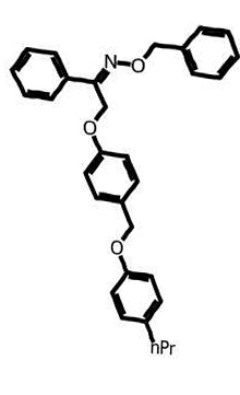 CCCc1ccc(OCc2ccc(OC/C(=N\OCc3ccccc3)c3ccccc3)cc2)cc1